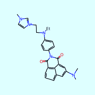 CCN(CC[n+]1ccn(C)c1)c1ccc(N2C(=O)c3cccc4cc(N(C)C)cc(c34)C2=O)cc1